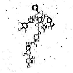 Cc1nc([C@@H]2O[C@@H]3COC(c4ccccc4)O[C@@H]3[C@H](n3cc(-c4cc(F)c(Cl)c(F)c4)nn3)[C@H]2OCCOc2ccc(C(=O)Nc3ccc4c(c3)CN(C3CCC(=O)NC3=O)C4=O)nc2)n(-c2cc(Cl)ccc2C(F)(F)F)n1